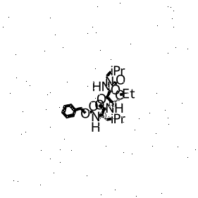 CCOC[C@H](NC(=O)[C@H](CC(C)C)NC(=O)OCc1ccccc1)C(=O)C1NN(CC(C)C)C(=O)O1